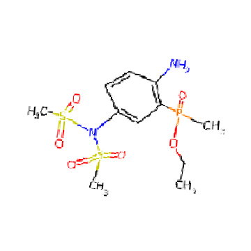 CCOP(C)(=O)c1cc(N(S(C)(=O)=O)S(C)(=O)=O)ccc1N